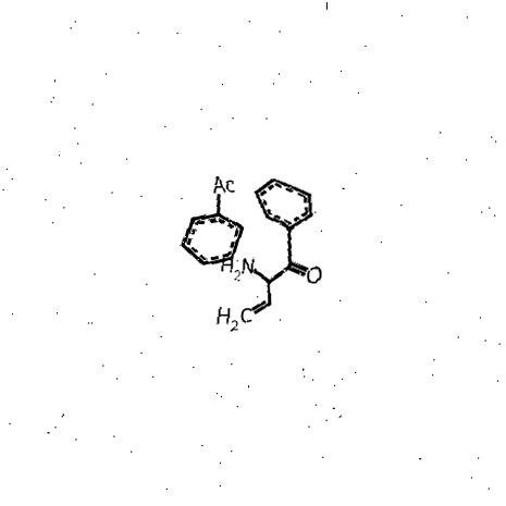 C=CC(N)C(=O)c1ccccc1.CC(=O)c1ccccc1